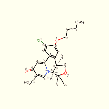 COCCCOc1cc2c(cc1Cl)-c1cc(=O)c(C(=O)O)cn1[C@H]1[C@@H]2COC1(C)C